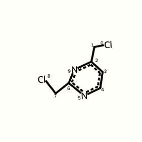 ClCc1ccnc(CCl)n1